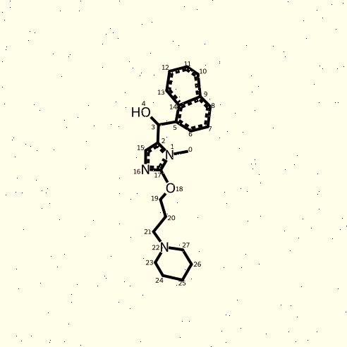 Cn1c(C(O)c2cccc3ccccc23)cnc1OCCCN1CCCCC1